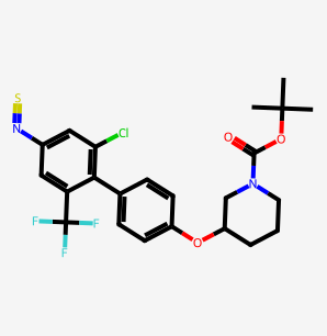 CC(C)(C)OC(=O)N1CCCC(Oc2ccc(-c3c(Cl)cc(N=S)cc3C(F)(F)F)cc2)C1